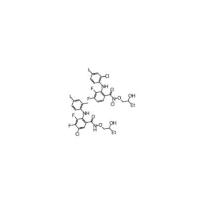 CCC(O)CON(Cl)C(=O)c1ccc(F)c(F)c1Nc1ccc(I)cc1Cl.CCC(O)CONC(=O)c1cc(Cl)c(F)c(F)c1Nc1ccc(I)cc1C